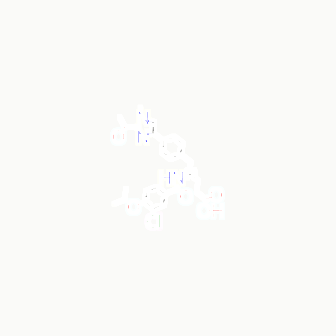 CC(=O)c1nc(-c2ccc(C[C@@H](CCC(=O)O)NC(=O)c3ccc(OC(C)C)c(Cl)c3)cc2)cn1C